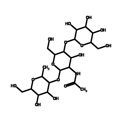 CC(=O)NC1C(OC2C(C)OC(CO)C(O)C2O)OC(CO)C(OC2OC(CO)C(O)C(O)C2O)C1O